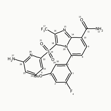 CC(C)COc1cc(F)cc(-c2ccc(C(N)=O)c3nc(C(F)(F)F)c(S(=O)(=O)c4cccc(N)n4)n23)c1